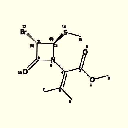 COC(=O)C(=C(C)C)N1C(=O)[C@H](Br)[C@H]1SC